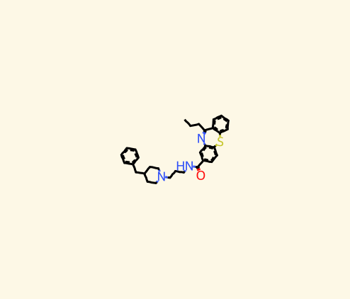 CCCC1=Nc2cc(C(=O)NCCCN3CCC(Cc4ccccc4)CC3)ccc2Sc2ccccc21